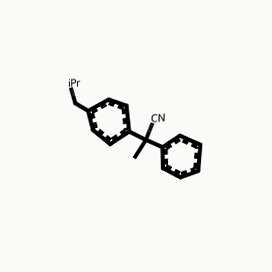 CC(C)Cc1ccc(C(C)(C#N)c2ccccc2)cc1